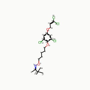 CC(=NOCCCCCOc1c(Cl)cc(OCC=C(Cl)Cl)cc1Cl)C(C)(C)C